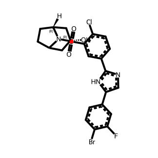 O=S(=O)(c1cc(-c2ncc(-c3ccc(Br)c(F)c3)[nH]2)ccc1Cl)N1C2CC[C@@H]1C[C@H](O)C2